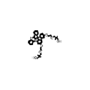 CC(C)(CO)COCCOc1ccc(C2(c3ccc(OCCOCC(C)(C)CO)cc3)c3ccccc3-c3nc4ccccc4nc32)cc1